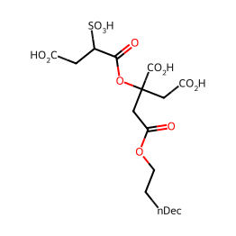 CCCCCCCCCCCCOC(=O)CC(CC(=O)O)(OC(=O)C(CC(=O)O)S(=O)(=O)O)C(=O)O